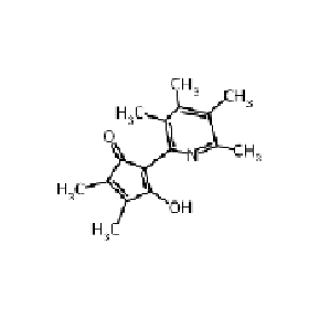 CC1=C(C)C(O)=C(c2nc(C)c(C)c(C)c2C)C1=O